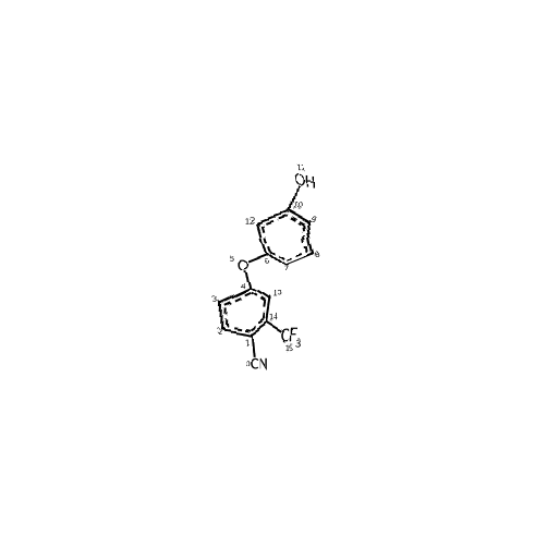 N#Cc1ccc(Oc2cccc(O)c2)cc1C(F)(F)F